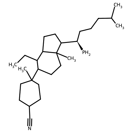 CCC1C(C2(C)CCC(C#N)CC2)CCC2(C)C1CCC2[C@H](P)CCCC(C)C